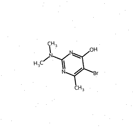 Cc1nc(N(C)C)nc(O)c1Br